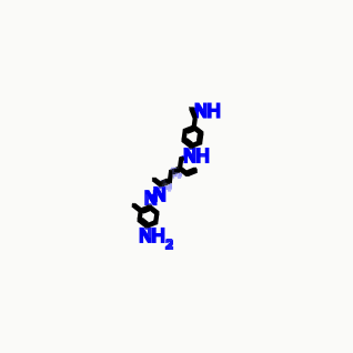 C=C/C(=C\C=C(/C)N=NC1=C(C)C=C(N)CC1)CNc1ccc(C2CN2)cc1